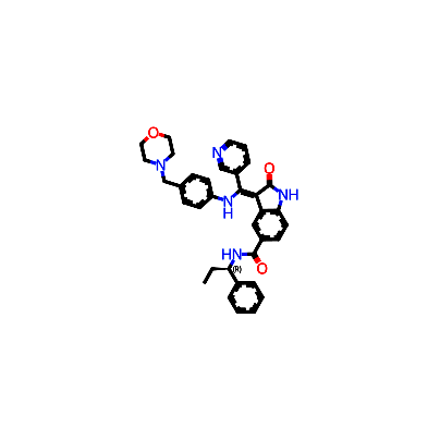 CC[C@@H](NC(=O)c1ccc2c(c1)C(=C(Nc1ccc(CN3CCOCC3)cc1)c1cccnc1)C(=O)N2)c1ccccc1